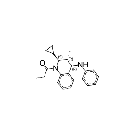 CCC(=O)N1c2ccccc2[C@H](Nc2ccccc2)[C@@H](C)[C@@H]1C1CC1